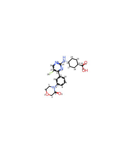 O=C1COCCN1c1cccc(-c2nc(N[C@H]3CC[C@H](C(=O)O)CC3)ncc2F)c1